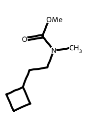 COC(=O)N(C)CCC1CCC1